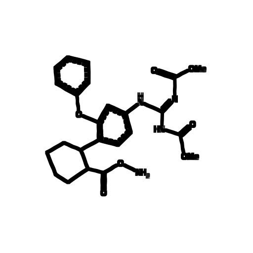 COC(=O)N=C(NC(=O)OC)Nc1ccc(C2CCCCC2C(=O)ON)c(Oc2ccccc2)c1